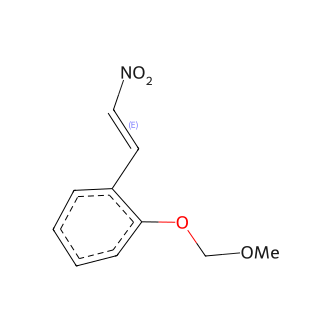 COCOc1ccccc1/C=C/[N+](=O)[O-]